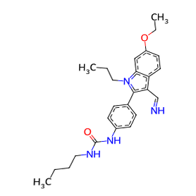 CCCCNC(=O)Nc1ccc(-c2c(C=N)c3ccc(OCC)cc3n2CCC)cc1